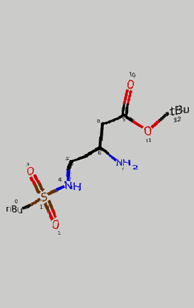 CCCCS(=O)(=O)NCC(N)CC(=O)OC(C)(C)C